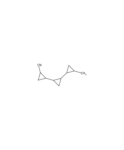 CC1CC1C1CC1C1C[C]1C#N